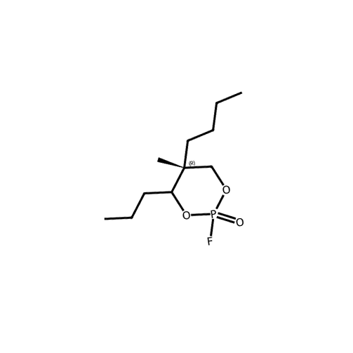 CCCC[C@]1(C)COP(=O)(F)OC1CCC